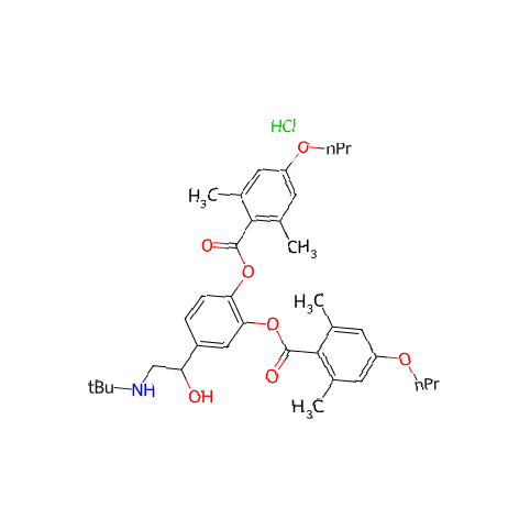 CCCOc1cc(C)c(C(=O)Oc2ccc(C(O)CNC(C)(C)C)cc2OC(=O)c2c(C)cc(OCCC)cc2C)c(C)c1.Cl